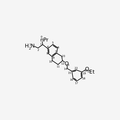 CCCC(CN)c1ccc2c(c1)CCC(OCc1cccc(OCC)c1)C2